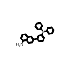 Nc1cccc2cc(-c3cccc(N(c4ccccc4)c4ccccc4)c3)ccc12